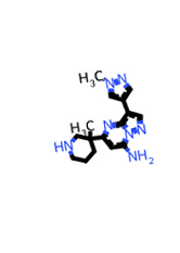 Cn1cc(-c2cnn3c(N)cc(C4(C)CCCNC4)nc23)cn1